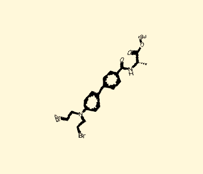 C[C@H](NC(=O)c1ccc(-c2ccc(N(CCBr)CCBr)cc2)cc1)C(=O)OC(C)(C)C